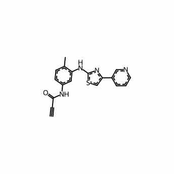 C#CC(=O)Nc1ccc(C)c(Nc2nc(-c3cccnc3)cs2)c1